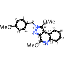 COc1ccc(Cn2nc3c(OC)nc4ccccc4c3c2OC)cc1